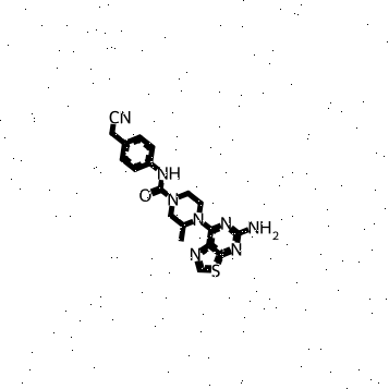 CC1CN(C(=O)Nc2ccc(CC#N)cc2)CCN1c1nc(N)nc2scnc12